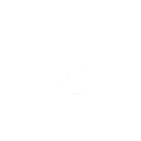 CNCc1nc2ccccc2n1C